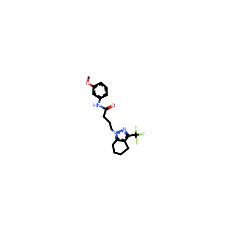 COc1cccc(NC(=O)CCCn2nc(C(F)(F)F)c3c2CCCC3)c1